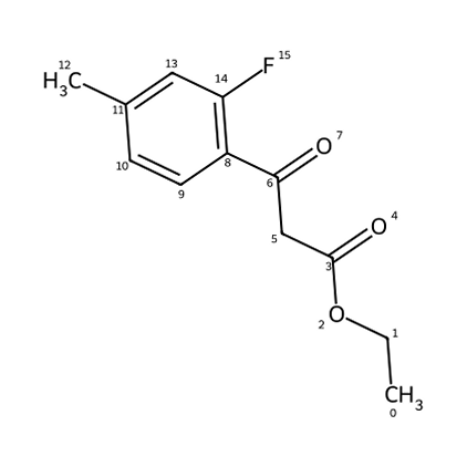 CCOC(=O)CC(=O)c1ccc(C)cc1F